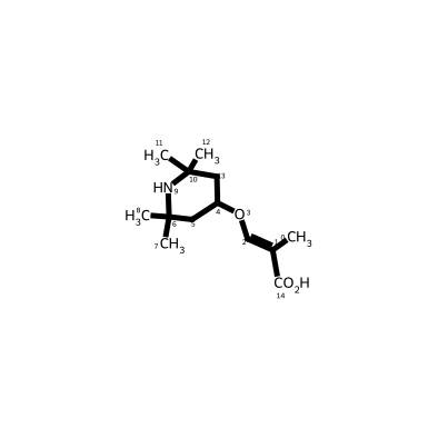 CC(=COC1CC(C)(C)NC(C)(C)C1)C(=O)O